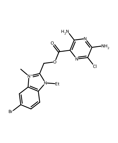 CCn1c(COC(=O)c2nc(Cl)c(N)nc2N)[n+](C)c2cc(Br)ccc21